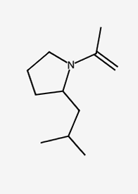 C=C(C)N1CCCC1CC(C)C